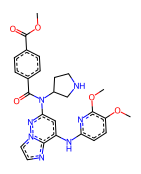 COC(=O)c1ccc(C(=O)N(c2cc(Nc3ccc(OC)c(OC)n3)c3nccn3n2)C2CCNC2)cc1